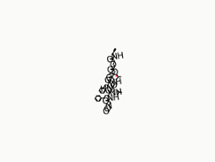 C#CCNC(=O)COCC(=O)O[C@](C)(CC)C(=O)[C@H](CC(C)C)NC(=O)[C@H](Cc1ccccc1)NC(=O)[C@H](CC(C)C)NC(=O)[C@H](CCc1ccccc1)NC(=O)CN1CCOCC1